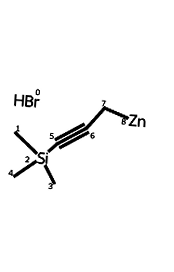 Br.C[Si](C)(C)C#C[CH2][Zn]